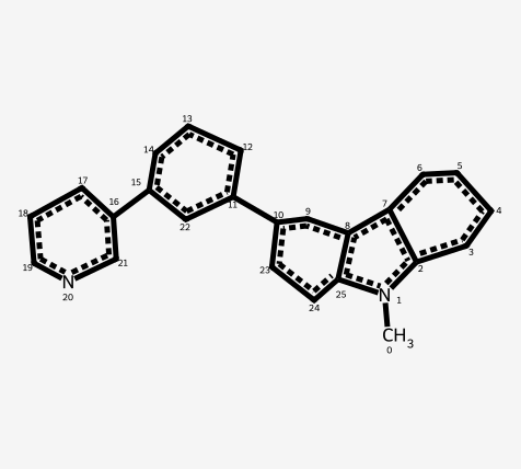 Cn1c2ccccc2c2cc(-c3cccc(-c4cccnc4)c3)ccc21